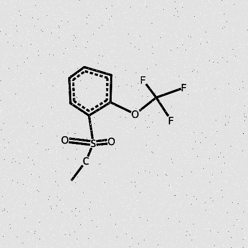 CCS(=O)(=O)c1ccccc1OC(F)(F)F